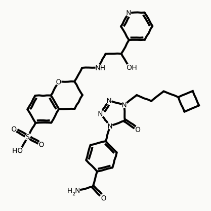 NC(=O)c1ccc(-n2nnn(CCCC3CCC3)c2=O)cc1.O=S(=O)(O)c1ccc2c(c1)CCC(CNCC(O)c1cccnc1)O2